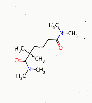 CN(C)C(=O)CCCC(C)(C)C(=O)N(C)C